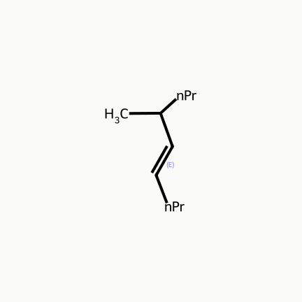 [CH2]CCC(C)/C=C/CCC